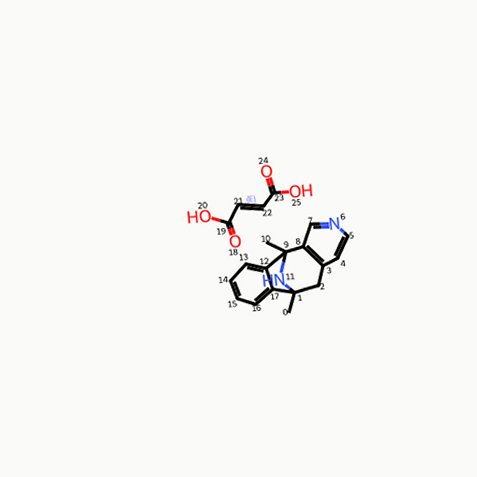 CC12Cc3ccncc3C(C)(N1)c1ccccc12.O=C(O)/C=C/C(=O)O